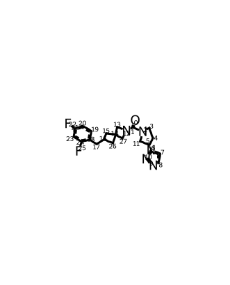 O=C(N1CC[C@H](n2ccnn2)C1)N1CC2(CC(Cc3ccc(F)cc3F)C2)C1